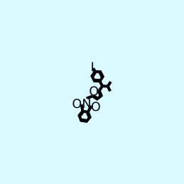 CC(C)C(c1ccc(I)cc1)c1ccc(CN2C(=O)c3ccccc3C2=O)o1